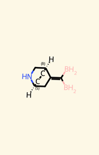 BC(B)=C1C[C@@H]2CC[C@H]1CN2